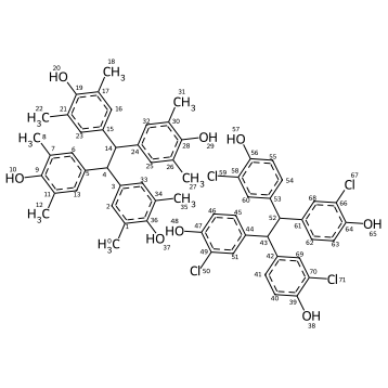 Cc1cc(C(c2cc(C)c(O)c(C)c2)C(c2cc(C)c(O)c(C)c2)c2cc(C)c(O)c(C)c2)cc(C)c1O.Oc1ccc(C(c2ccc(O)c(Cl)c2)C(c2ccc(O)c(Cl)c2)c2ccc(O)c(Cl)c2)cc1Cl